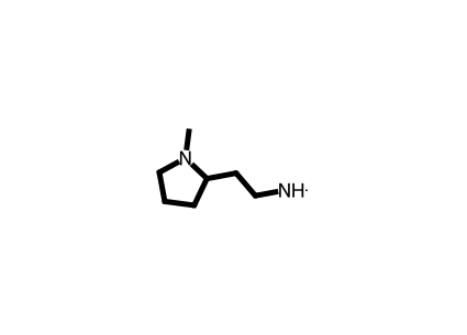 CN1CCCC1CC[NH]